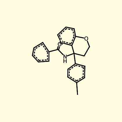 Cc1ccc(C2(NC(=O)c3ccccc3)CCOc3cccnc32)cc1